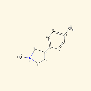 CN1CCC(c2ccc(C(F)(F)F)cc2)C1